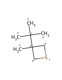 CC(C)(C)C1(C)CSC1